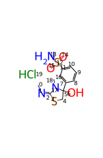 CN=C1SCC(O)(c2cccc(S(N)(=O)=O)c2)N1C.Cl